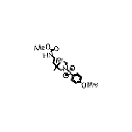 COC(=O)NCCC(C)(C)CN(CC(C)C)S(=O)(=O)c1ccc(OC)cc1